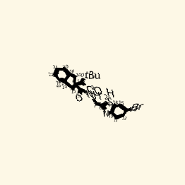 CC(C)(C)C(C(=O)O)C1(C(=O)NCc2nc3ccc(Br)cc3s2)Cc2ccccc2C1